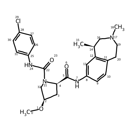 CO[C@@H]1C[C@H](C(=O)Nc2ccc3c(c2)[C@@H](C)CN(C)CC3)N(C(=O)Nc2ccc(Cl)cc2)C1